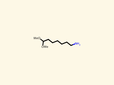 COC(CCCCCCN)OC